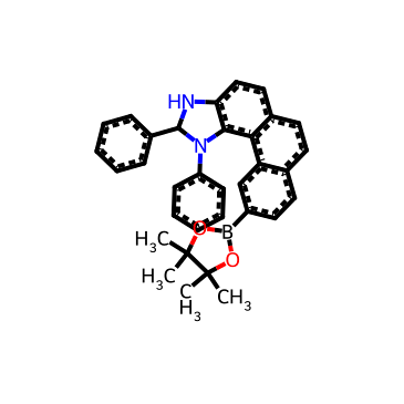 CC1(C)OB(c2ccc3ccc4ccc5c(c4c3c2)N(c2ccccc2)C(c2ccccc2)N5)OC1(C)C